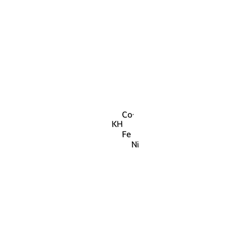 [Co].[Fe].[KH].[Ni]